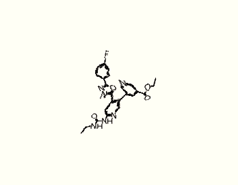 CCNC(=O)Nc1cc(-c2nnc(-c3ccc(F)cc3)o2)c(-c2cncc(C(=O)OCC)c2)cn1